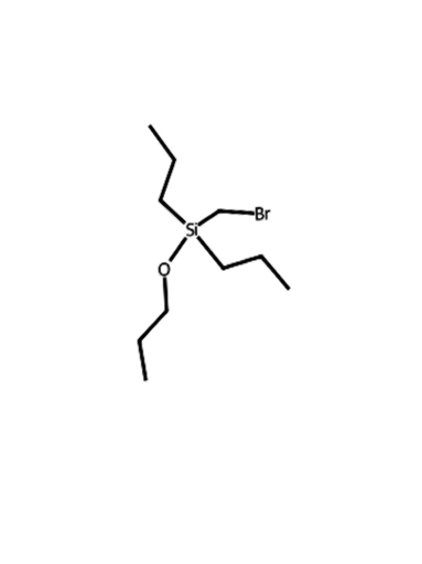 CCCO[Si](CBr)(CCC)CCC